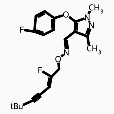 Cc1nn(C)c(Oc2ccc(F)cc2)c1C=NOCC(F)=CC#CC(C)(C)C